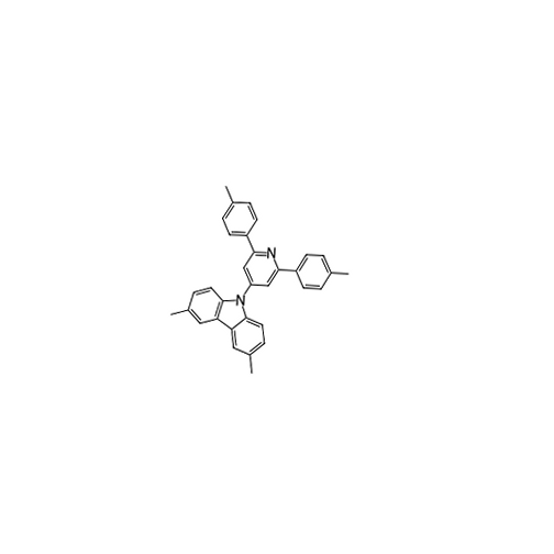 Cc1ccc(-c2cc(-n3c4ccc(C)cc4c4cc(C)ccc43)cc(-c3ccc(C)cc3)n2)cc1